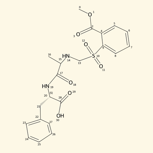 COC(=O)c1ccccc1S(=O)(=O)CNC(C)C(=O)N[C@@H](Cc1ccccc1)C(=O)O